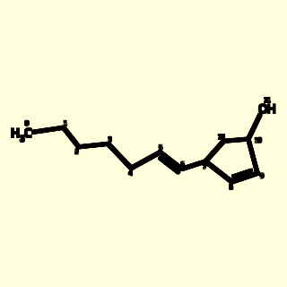 CCCCC/C=C/C1C=CC(O)C1